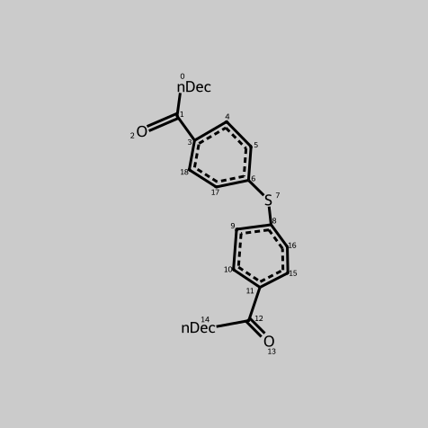 CCCCCCCCCCC(=O)c1ccc(Sc2ccc(C(=O)CCCCCCCCCC)cc2)cc1